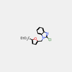 CCOC(=O)c1ccc(Cn2c(Cl)nc3ccccc32)o1